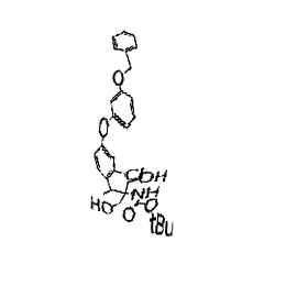 CC(c1ccc(Oc2cccc(OCc3ccccc3)c2)cc1Cl)C(CO)(CO)NC(=O)OC(C)(C)C